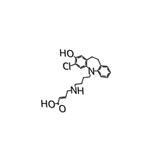 O=C(O)/C=C/CNCCCCN1c2ccccc2CCc2cc(O)c(Cl)cc21